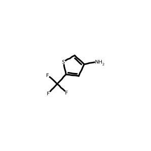 Nc1csc(C(F)(F)F)c1